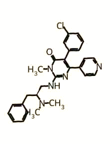 CN(C)[C@H](CNc1nc(-c2ccncc2)c(-c2cccc(Cl)c2)c(=O)n1C)Cc1ccccc1